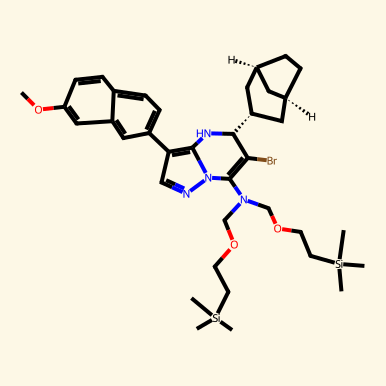 COc1ccc2ccc(-c3cnn4c3NC([C@H]3C[C@@H]5CC[C@@H](C5)C3)C(Br)=C4N(COCC[Si](C)(C)C)COCC[Si](C)(C)C)cc2c1